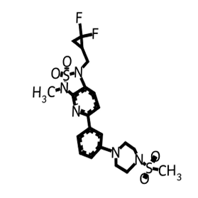 CN1c2nc(-c3cccc(N4CCN(S(C)(=O)=O)CC4)c3)ccc2N(CC2CC2(F)F)S1(=O)=O